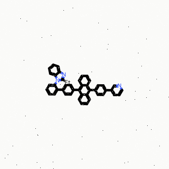 CCc1nc2ccccc2n1-c1ccccc1-c1ccc(-c2c3ccccc3c(-c3ccc(-c4cccnc4)cc3)c3ccccc23)cc1